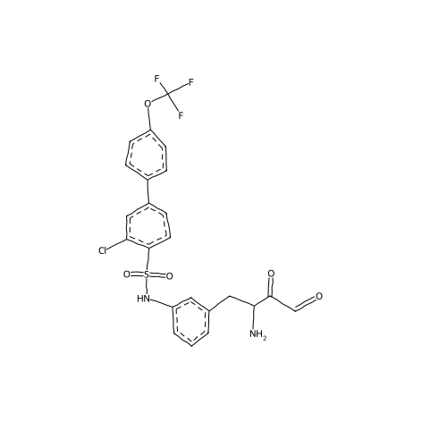 NC(Cc1cccc(NS(=O)(=O)c2ccc(-c3ccc(OC(F)(F)F)cc3)cc2Cl)c1)C(=O)C=O